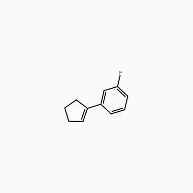 Fc1cc[c]c(C2=CCCC2)c1